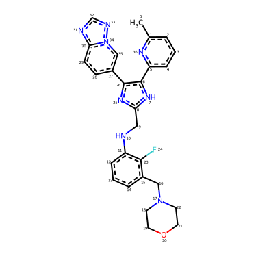 Cc1cccc(-c2[nH]c(CNc3cccc(CN4CCOCC4)c3F)nc2-c2ccc3ncnn3c2)n1